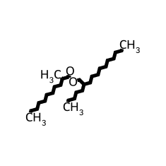 CCCCCCCCCCC(CCCCC)COC(=O)C(C)CCCCCCCCC